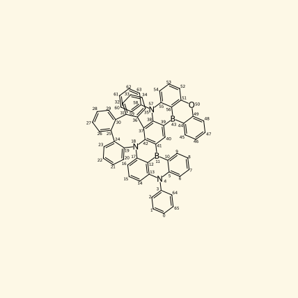 c1ccc(N2c3ccccc3B3c4c2cccc4-n2c4ccccc4c4ccccc4c4ccccc4c4c5c(cc3c42)B2c3ccccc3Oc3cccc(c32)N5c2ccccc2)cc1